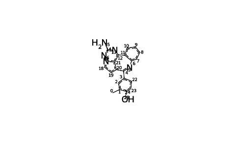 Cc1cc(C2=Nc3ccccc3-c3nc(N)nn4ccc2c34)ccc1O